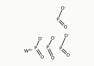 O=P[O-].O=P[O-].O=P[O-].O=P[O-].[W+4]